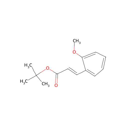 COc1ccccc1C=CC(=O)OC(C)(C)C